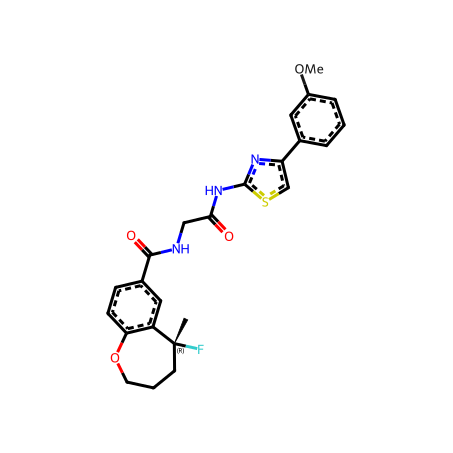 COc1cccc(-c2csc(NC(=O)CNC(=O)c3ccc4c(c3)[C@](C)(F)CCCO4)n2)c1